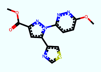 COC(=O)c1cc(-c2cscn2)n(-c2ccc(OC)nn2)n1